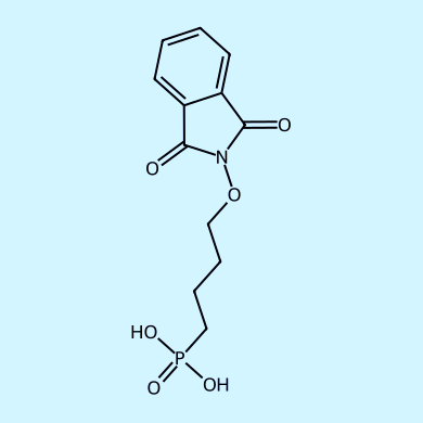 O=C1c2ccccc2C(=O)N1OCCCCP(=O)(O)O